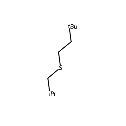 CC(C)CSCCC(C)(C)C